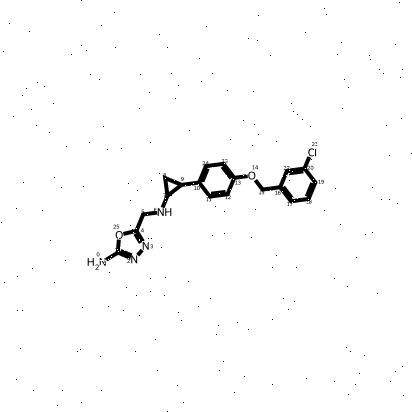 Nc1nnc(CNC2CC2c2ccc(OCc3cccc(Cl)c3)cc2)o1